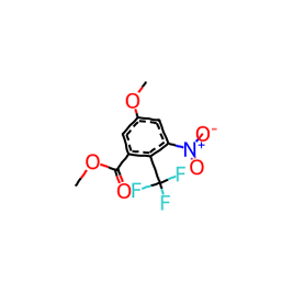 COC(=O)c1cc(OC)cc([N+](=O)[O-])c1C(F)(F)F